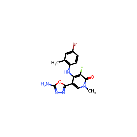 Cc1cc(Br)ccc1Nc1c(-c2nnc(N)o2)cn(C)c(=O)c1F